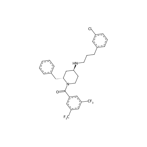 O=C(c1cc(C(F)(F)F)cc(C(F)(F)F)c1)N1CC[C@H](NCCCc2cccc(Cl)c2)C[C@H]1Cc1ccccc1